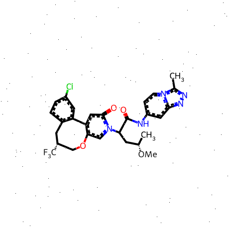 CO[C@@H](C)CC(C(=O)Nc1ccn2c(C)nnc2c1)n1cc2c(cc1=O)-c1cc(Cl)ccc1C[C@@H](C(F)(F)F)CO2